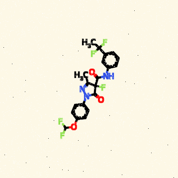 CC1=NN(c2ccc(OC(F)F)cc2)C(=O)C1(F)C(=O)Nc1cccc(C(C)(F)F)c1